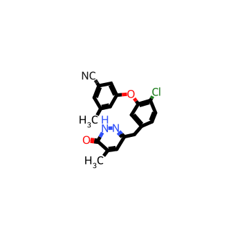 Cc1cc(C#N)cc(Oc2cc(Cc3cc(C)c(=O)[nH]n3)ccc2Cl)c1